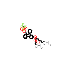 C=CC(=O)OC(CCCCC)Oc1ccc(-c2ccccc2)c(C2(CCCOS(=O)(=O)C(F)(F)F)CCCCC2)c1